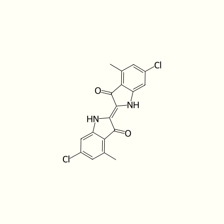 Cc1cc(Cl)cc2c1C(=O)/C(=C1\Nc3cc(Cl)cc(C)c3C1=O)N2